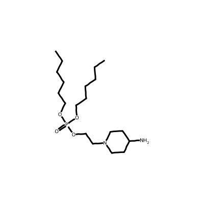 CCCCCCOP(=O)(OCCCCCC)OCCN1CCC(N)CC1